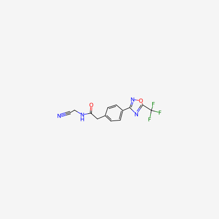 N#CCNC(=O)Cc1ccc(-c2noc(C(F)(F)F)n2)cc1